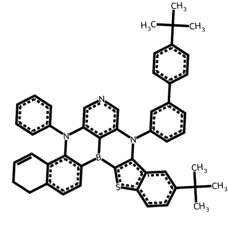 CC(C)(C)c1ccc(-c2cccc(N3c4cncc5c4B(c4ccc6c(c4N5c4ccccc4)C=CCC6)c4sc5ccc(C(C)(C)C)cc5c43)c2)cc1